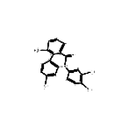 Nc1ccc(NC(=O)c2cccc(N)c2-c2ccc(O)cc2)cc1O